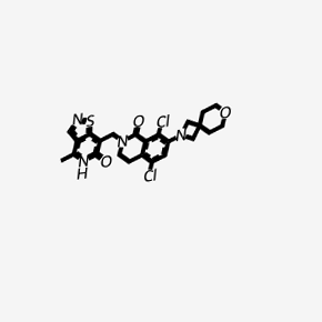 Cc1[nH]c(=O)c(CN2CCc3c(Cl)cc(N4CC5(CCOCC5)C4)c(Cl)c3C2=O)c2sncc12